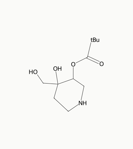 CC(C)(C)C(=O)OC1CNCCC1(O)CO